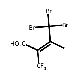 CC(=C(C(=O)O)C(F)(F)F)C(Br)(Br)Br